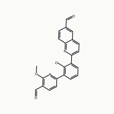 COc1nc(-c2cccc(-c3ccc4cc(C=O)ccc4n3)c2Cl)ccc1C=O